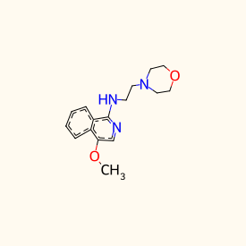 COc1cnc(NCCN2CCOCC2)c2ccccc12